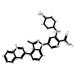 Cc1nn(-c2cnc(C(N)=O)c(NC3CCC(O)CC3)c2)c2cccc(-c3cnc4ccccc4c3)c12